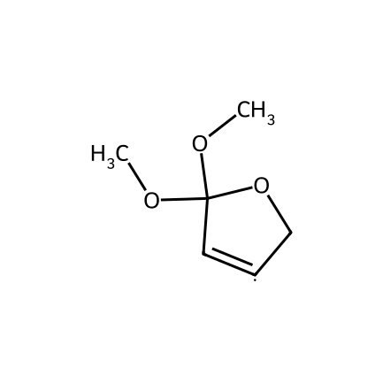 COC1(OC)C=[C]CO1